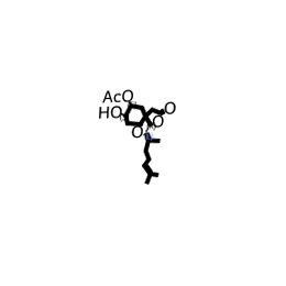 CC(=O)O[C@H]1CC2(CC(=O)O[C@@H]2/C=C(\C)CCC=C(C)C)C(=O)C[C@@H]1O